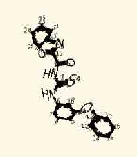 O=C(NC(=S)Nc1cccc(Oc2ccccc2)c1)c1nc2ccccc2o1